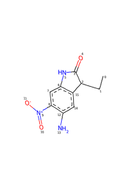 CCC1C(=O)Nc2cc([N+](=O)[O-])c(N)cc21